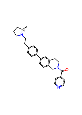 C[C@@H]1CCCN1CCc1ccc(-c2ccc3c(c2)CCN(C(=O)c2ccncc2)C3)cc1